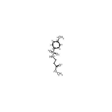 COC(=O)CCNS(=O)(=O)c1ccc(C)cc1